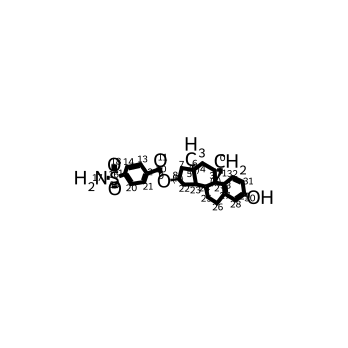 C=C[C@]12CC[C@]3(C)C[C@H](OC(=O)c4ccc(S(N)(=O)=O)cc4)CC3C1CCc1cc(O)ccc12